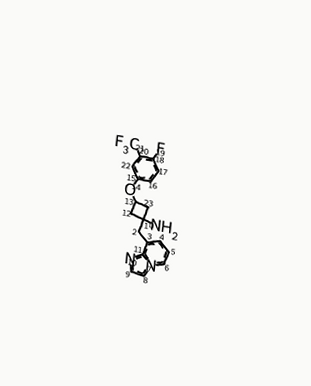 NC1(Cc2cccn3ccnc23)CC(Oc2ccc(F)c(C(F)(F)F)c2)C1